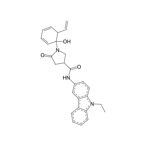 C=CC1C=CC=CC1(O)N1CC(C(=O)Nc2ccc3c(c2)c2ccccc2n3CC)CC1=O